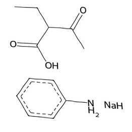 CCC(C(C)=O)C(=O)O.Nc1ccccc1.[NaH]